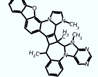 CC1c2ccccc2N2c3cncnc3N(C)C2C2(C)C3=C(c4ccc5c(oc6ccccc65)c4N4C=CN(C)C34)C12